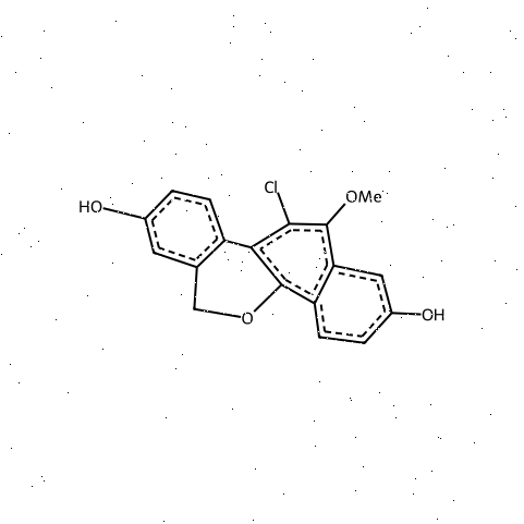 COc1c(Cl)c2c(c3ccc(O)cc13)OCc1cc(O)ccc1-2